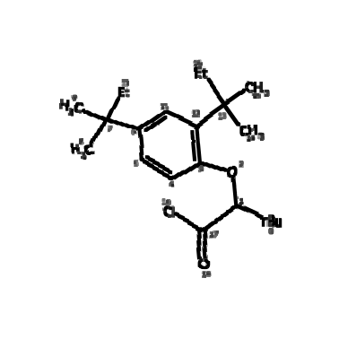 CCCCC(Oc1ccc(C(C)(C)CC)cc1C(C)(C)CC)C(=O)Cl